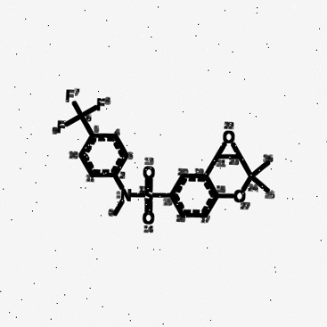 CN(c1ccc(C(F)(F)F)cc1)S(=O)(=O)c1ccc2c(c1)C1OC1C(C)(C)O2